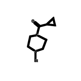 CCN1CCN(C(=O)C2CC2)CC1